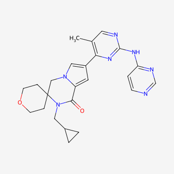 Cc1cnc(Nc2ccncn2)nc1-c1cc2n(c1)CC1(CCOCC1)N(CC1CC1)C2=O